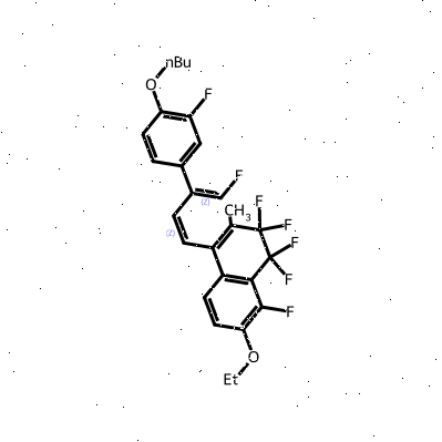 CCCCOc1ccc(C(/C=C\C2=C(C)C(F)(F)C(F)(F)c3c2ccc(OCC)c3F)=C\F)cc1F